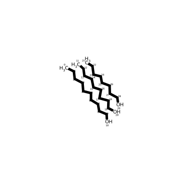 CCCCCCCCCCO.CCCCCCCCCO.CCCCCCCCO